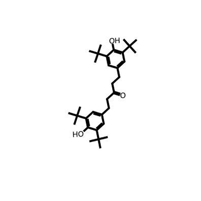 CC(C)(C)c1cc(CCC(=O)CCc2cc(C(C)(C)C)c(O)c(C(C)(C)C)c2)cc(C(C)(C)C)c1O